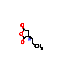 CC/C=C1/CC(=O)OC1=O